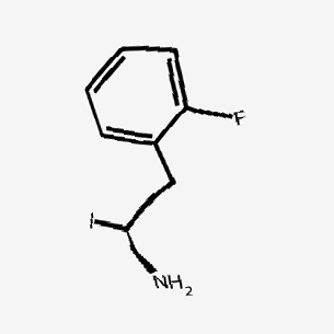 N[C@@H](I)Cc1ccccc1F